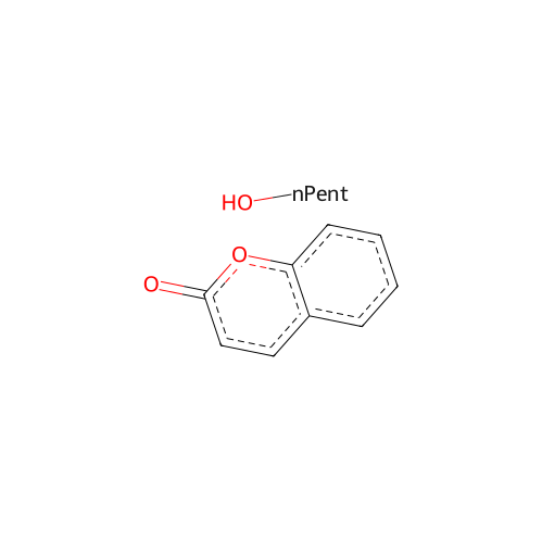 CCCCCO.O=c1ccc2ccccc2o1